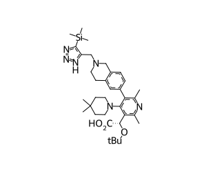 Cc1nc(C)c([C@H](OC(C)(C)C)C(=O)O)c(N2CCC(C)(C)CC2)c1-c1ccc2c(c1)CCN(Cc1[nH]nnc1[Si](C)(C)C)C2